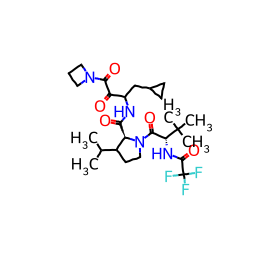 CC(C)C1CCN(C(=O)[C@@H](NC(=O)C(F)(F)F)C(C)(C)C)[C@@H]1C(=O)NC(CC1CC1)C(=O)C(=O)N1CCC1